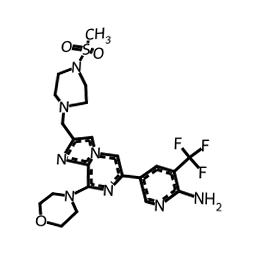 CS(=O)(=O)N1CCN(Cc2cn3cc(-c4cnc(N)c(C(F)(F)F)c4)nc(N4CCOCC4)c3n2)CC1